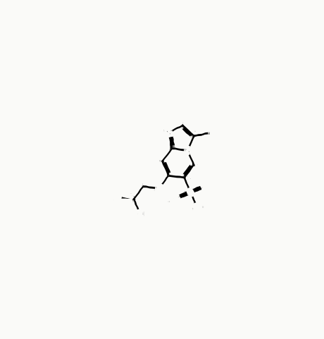 C[C@H](O)COc1cc2ncc(I)n2cc1S(=O)(=O)C(C)(C)C